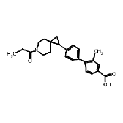 CCC(=O)N1CCC2(CC1)C[C@H]2c1ccc(-c2ccc(C(=O)O)cc2C)cc1